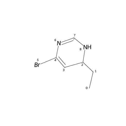 CCC1C=C(Br)N=[C]N1